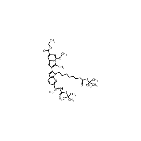 CCOC(=O)c1cc(OC)n2c(C)c(-c3cc4ccc([C@@H](C)NC(=O)OC(C)(C)C)nc4n3CCCCCCCC(=O)OC(C)(C)C)nc2c1